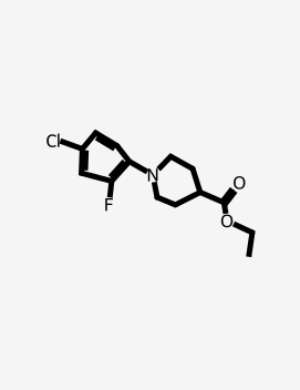 CCOC(=O)C1CCN(c2ccc(Cl)cc2F)CC1